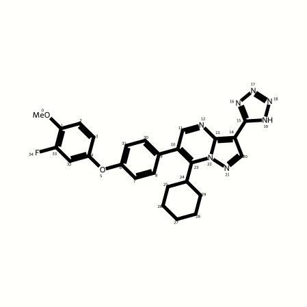 COc1ccc(Oc2ccc(-c3cnc4c(-c5nnn[nH]5)cnn4c3C3CCCCC3)cc2)cc1F